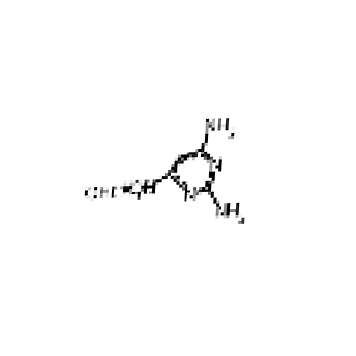 Cc1cc(N)nc(N)n1.O=CO